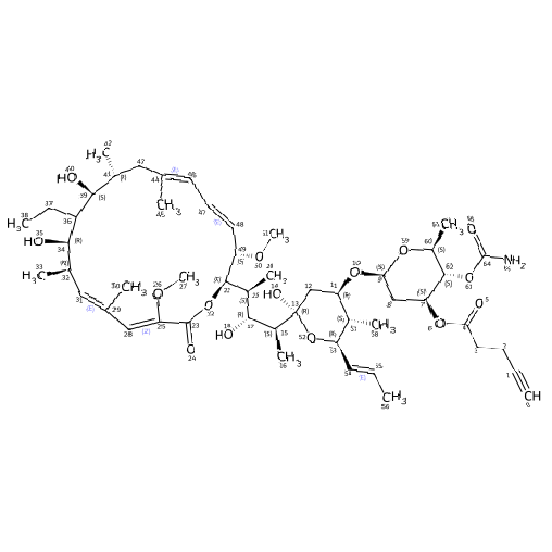 C#CCCC(=O)O[C@H]1C[C@@H](O[C@@H]2C[C@](O)([C@@H](C)[C@H](O)[C@H](C)[C@H]3OC(=O)/C(OC)=C/C(C)=C/[C@@H](C)[C@@H](O)C(CC)[C@@H](O)[C@H](C)C/C(C)=C/C=C/[C@@H]3OC)O[C@H](/C=C/C)[C@H]2C)O[C@@H](C)[C@@H]1OC(N)=O